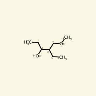 CCC(O)C(CC)COC